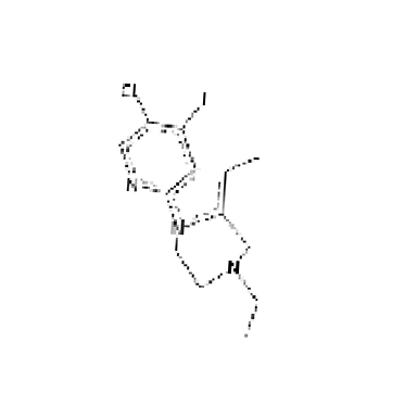 CCN1CCn2c(c(F)c3c(F)c(Cl)cnc32)C1